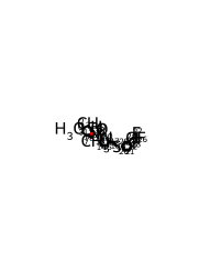 CC1(C)C[C@@H]2C[C@@](C)(CN2C(=O)c2cccc(CSc3cccc(OC(F)(F)F)c3)n2)C1